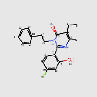 CCc1c(C)nc(-c2ccc(F)cc2O)n(CCc2ccccc2)c1=O